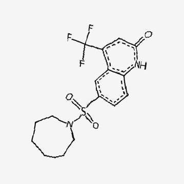 O=c1cc(C(F)(F)F)c2cc(S(=O)(=O)N3CCCCCC3)ccc2[nH]1